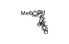 COc1ccc(C2(O)CCN(CC3CN(c4ccc(Cl)cc4)C(=O)O3)CC2)cc1